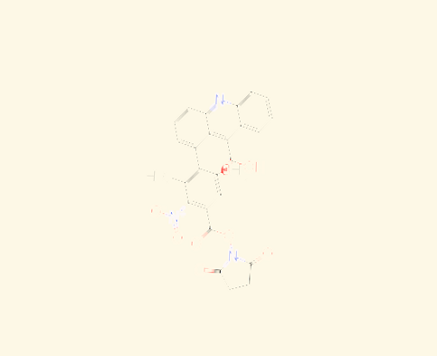 Cc1cc(C(=O)ON2C(=O)CCC2=O)c([N+](=O)[O-])c(C)c1-c1cccc2nc3ccccc3c(C(=O)O)c12